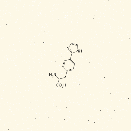 NC(Cc1ccc(-c2ncc[nH]2)cc1)C(=O)O